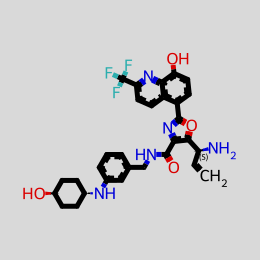 C=C[C@H](N)c1oc(-c2ccc(O)c3nc(C(F)(F)F)ccc23)nc1C(=O)NCc1cccc(N[C@H]2CC[C@H](O)CC2)c1